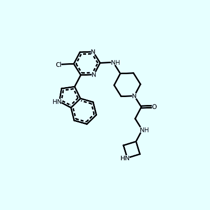 O=C(CNC1CNC1)N1CCC(Nc2ncc(Cl)c(-c3c[nH]c4ccccc34)n2)CC1